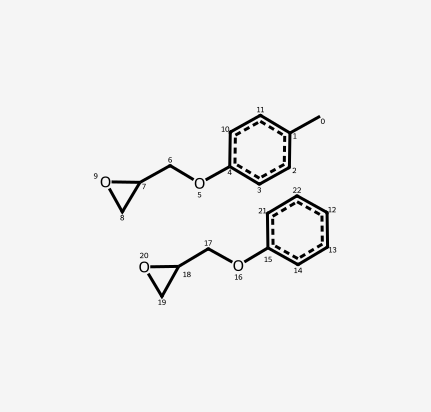 Cc1ccc(OCC2CO2)cc1.c1ccc(OCC2CO2)cc1